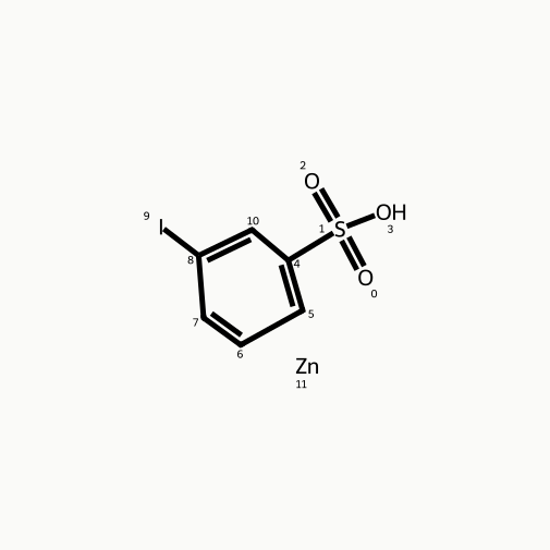 O=S(=O)(O)c1cccc(I)c1.[Zn]